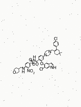 CC1(C)CCC(CN2CCN(c3ccc(C(=O)NS(=O)(=O)c4ccc(NCC5CCOCC5)c([N+](=O)[O-])c4)c(Oc4cc5cc[nH]c5cc4Cl)c3)CC2)=C(c2ccc(Cl)cc2)C1